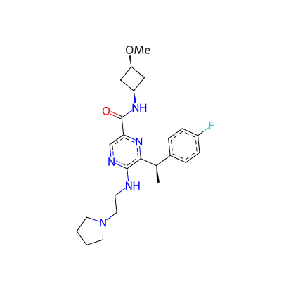 CO[C@H]1C[C@@H](NC(=O)c2cnc(NCCN3CCCC3)c([C@H](C)c3ccc(F)cc3)n2)C1